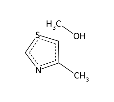 CO.Cc1cscn1